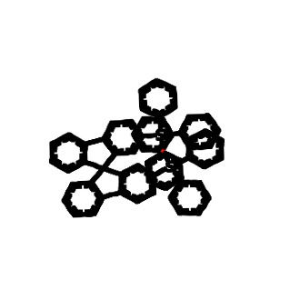 c1ccc([Si](c2ccccc2)(c2ccccc2)c2ccc3c(c2)C2(c4ccccc4-3)c3ccccc3-c3ccc([Si](c4ccccc4)(c4ccccc4)c4ccccc4)cc32)cc1